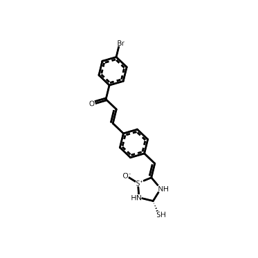 O=C(/C=C/c1ccc(/C=C2/N[C@H](S)N[S+]2[O-])cc1)c1ccc(Br)cc1